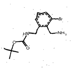 CC(C)(C)OC(=O)NCc1cccc(Br)c1CN